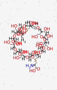 C[C@H](CSCC1C[C@@H]2O[C@@H]3C(CO)O[C@H](O[C@@H]4C(CO)O[C@H](O[C@@H]5C(CSC[C@@H](N)C(=O)O)O[C@H](O[C@@H]6C(CO)O[C@H](O[C@@H]7C(CO)O[C@H](O[C@@H]8C(CO)O[C@H](O[C@H]1[C@H](O)C2O)C(O)[C@H]8O)[C@@H](O)C7O)[C@@H](O)C6O)[C@@H](O)C5O)[C@@H](O)C4O)[C@@H](O)C3O)C(=O)O